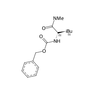 CC[C@H](C)[C@H](NC(=O)OCc1ccccc1)C(=O)NC